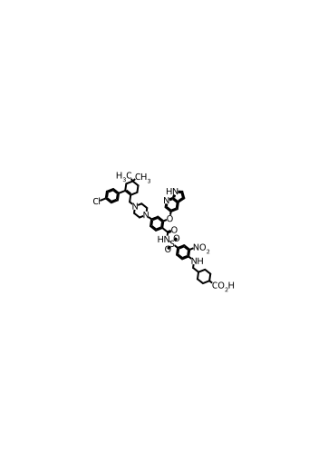 CC1(C)CCC(CN2CCN(c3ccc(C(=O)NS(=O)(=O)c4ccc(NCC5CCC(C(=O)O)CC5)c([N+](=O)[O-])c4)c(Oc4cnc5[nH]ccc5c4)c3)CC2)=C(c2ccc(Cl)cc2)C1